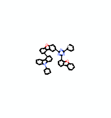 c1ccc(-c2nc(-c3ccc4oc5cccc(-c6cccc7c6c6ccccc6n7-c6ccccc6)c5c4c3)nc(-c3cccc4c3oc3ccccc34)n2)cc1